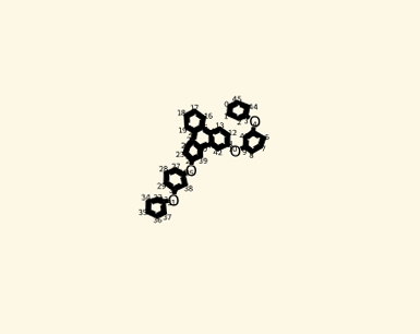 c1ccc(Oc2cccc(Oc3ccc4c5ccccc5c5ccc(Oc6cccc(Oc7ccccc7)c6)cc5c4c3)c2)cc1